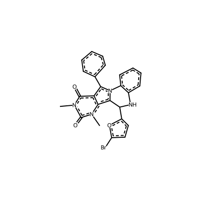 Cn1c(=O)c2c(-c3ccccc3)n3c(c2n(C)c1=O)C(c1ccc(Br)o1)Nc1ccccc1-3